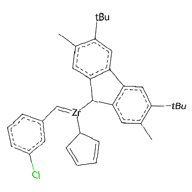 Cc1cc2c(cc1C(C)(C)C)-c1cc(C(C)(C)C)c(C)cc1[CH]2[Zr](=[CH]c1cccc(Cl)c1)[CH]1C=CC=C1